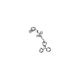 O=C(/C=C/c1ccc[n+]([O-])c1)NCCCN1CCN(C(c2ccccc2)c2ccccc2)CC1